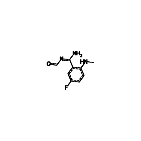 CNc1ccc(F)cc1/C(N)=N\C=O